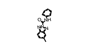 Cc1ccc2nn(C(=O)Nc3ccccc3)nc2c1